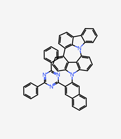 c1ccc(-c2nc(-c3ccccc3)nc(-c3cc4ccccc4cc3-n3c4cccc5c6cccc7c8ccccc8n(c8cccc3c8c54)c67)n2)cc1